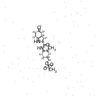 C[C@@H]1C[C@@H](COS(C)(=O)=O)CC[C@@H]1NC(=O)c1cc2cc(Cl)ccc2[nH]1